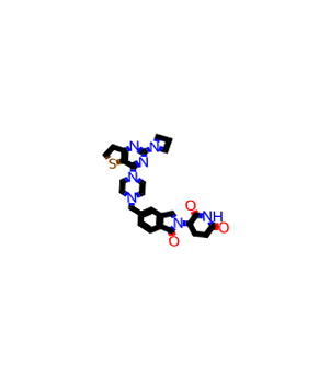 O=C1CCC(N2Cc3cc(CN4CCN(c5nc(N6CCC6)nc6c5SCC6)CC4)ccc3C2=O)C(=O)N1